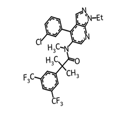 CCn1ncc2c(-c3cccc(Cl)c3)c(N(C)C(=O)C(C)(C)c3cc(C(F)(F)F)cc(C(F)(F)F)c3)cnc21